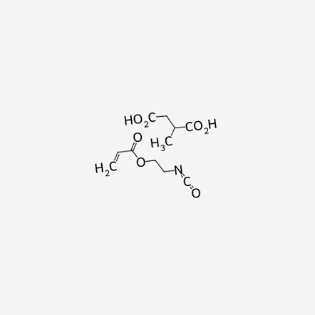 C=CC(=O)OCCN=C=O.CC(CC(=O)O)C(=O)O